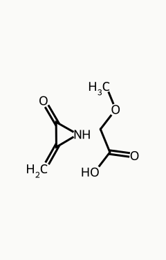 C=C1NC1=O.COCC(=O)O